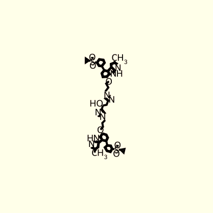 Cc1cnc2[nH]c3c(OCCCn4cnc(CC(O)c5cn(CCCOc6ccc(-c7cccc(S(=O)(=O)C8CC8)c7)c7c6[nH]c6ncc(C)cc67)cn5)c4)ccc(-c4cccc(S(=O)(=O)C5CC5)c4)c3c2c1